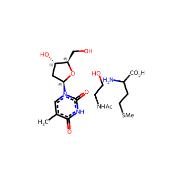 CC(=O)NCCO.CSCCC(N)C(=O)O.Cc1cn([C@H]2C[C@H](O)[C@@H](CO)O2)c(=O)[nH]c1=O